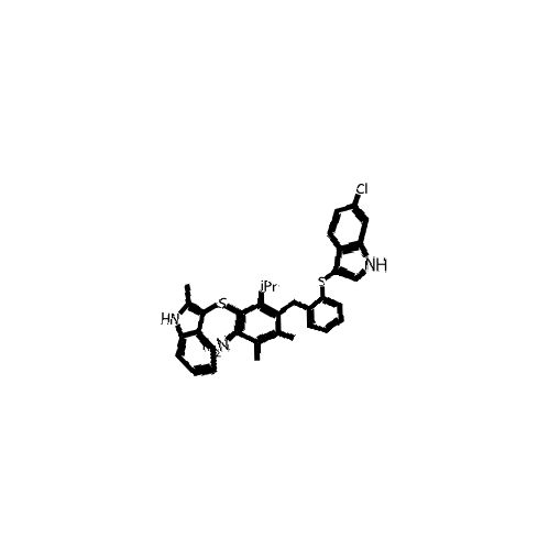 C[C](C)c1c(Cc2ccccc2Sc2c[nH]c3cc(Cl)ccc23)c(C)c(C)c(N)c1Sc1c(C)[nH]c2ccccc12